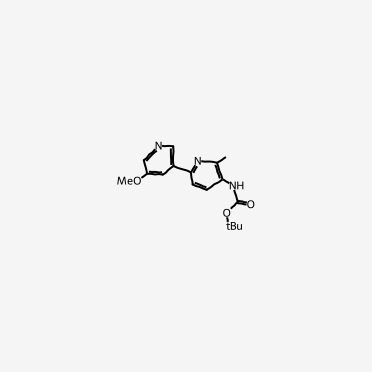 COc1cncc(-c2ccc(NC(=O)OC(C)(C)C)c(C)n2)c1